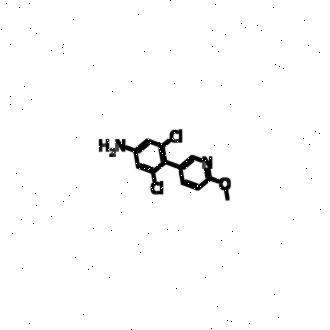 COc1ccc(-c2c(Cl)cc(N)cc2Cl)cn1